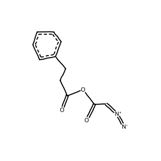 [N-]=[N+]=CC(=O)OC(=O)CCc1ccccc1